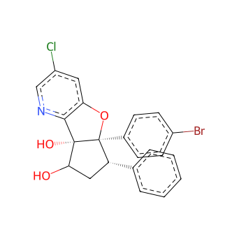 OC1C[C@@H](c2ccccc2)[C@]2(c3ccc(Br)cc3)Oc3cc(Cl)cnc3[C@]12O